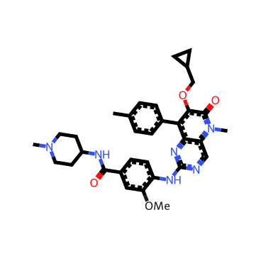 COc1cc(C(=O)NC2CCN(C)CC2)ccc1Nc1ncc2c(n1)c(-c1ccc(C)cc1)c(OCC1CC1)c(=O)n2C